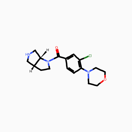 O=C(c1ccc(N2CCOCC2)c(Cl)c1)N1CC[C@@H]2CNC[C@@H]21